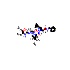 CC(C)(C)OC(=O)[C@@H](NC(=O)N[C@H](C(=O)N1C[C@H]2[C@@H]([C@H]1C(=O)NC(CC1CC1)C(=O)C(=O)NCc1ccccc1)C2(C)C)C(C)(C)C)C(C)(C)C